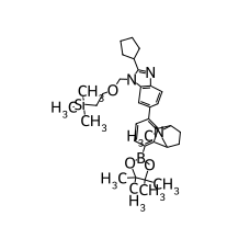 CN1C2CCC1c1c(-c3ccc4nc(C5CCCC5)n(COCC[Si](C)(C)C)c4c3)ccc(B3OC(C)(C)C(C)(C)O3)c12